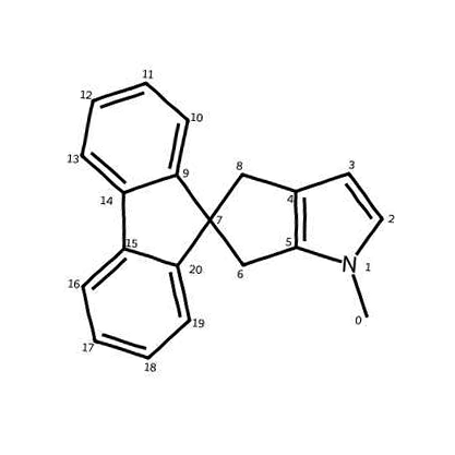 Cn1ccc2c1CC1(C2)c2ccccc2-c2ccccc21